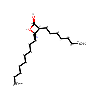 CCCCCCCCCCCCCCCCC/C=C1\OC(=O)C1CCCCCCCCCCCCCCCC